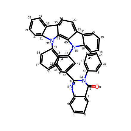 O=c1c2ccccc2nc(-c2cccc(-n3c4ccccc4c4ccc5c6ccccc6n(-c6ccccc6)c5c43)c2)n1-c1ccccc1